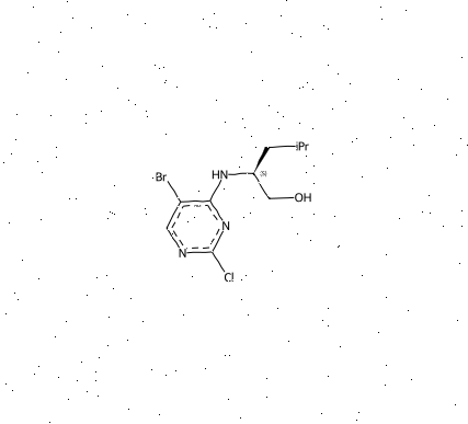 CC(C)C[C@@H](CO)Nc1nc(Cl)ncc1Br